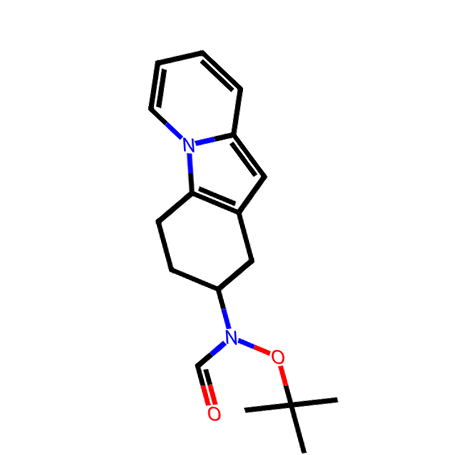 CC(C)(C)ON(C=O)C1CCc2c(cc3ccccn23)C1